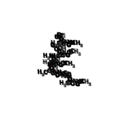 CCCOc1cc(N)c(Cl)cc1C(=O)Nc1cccc2c1CCN(C)C2.COc1cc(N)c(I)cc1C(=O)Nc1cccc2c1CCN(C)C2.COc1cc(NC(C)=O)ccc1C(=O)Nc1cccc2c1CCN(C)C2.COc1cc(OCc2ccccc2)c(Cl)cc1C(=O)Nc1cccc2c1CCN(C)C2.COc1cc([N+](=O)[O-])c(Cl)cc1C(=O)Nc1cccc2c1CCN(C)C2